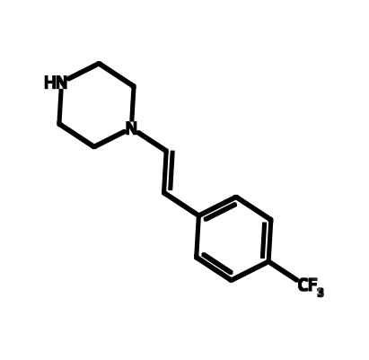 FC(F)(F)c1ccc(C=CN2CCNCC2)cc1